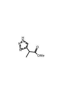 COC(=O)C(C)c1c[nH]nn1